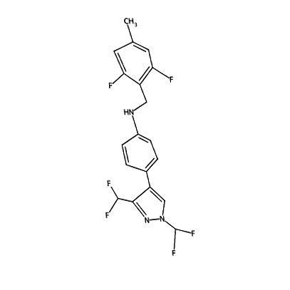 Cc1cc(F)c(CNc2ccc(-c3cn(C(F)F)nc3C(F)F)cc2)c(F)c1